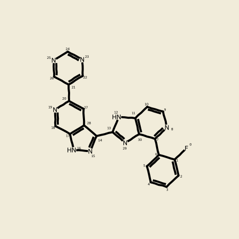 Fc1ccccc1-c1nccc2[nH]c(-c3n[nH]c4cnc(-c5cncnc5)cc34)nc12